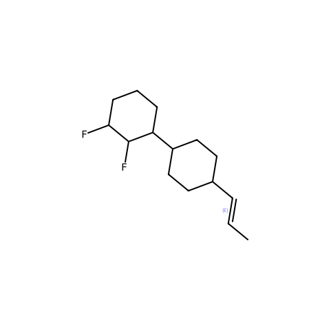 C/C=C/C1CCC(C2CCCC(F)C2F)CC1